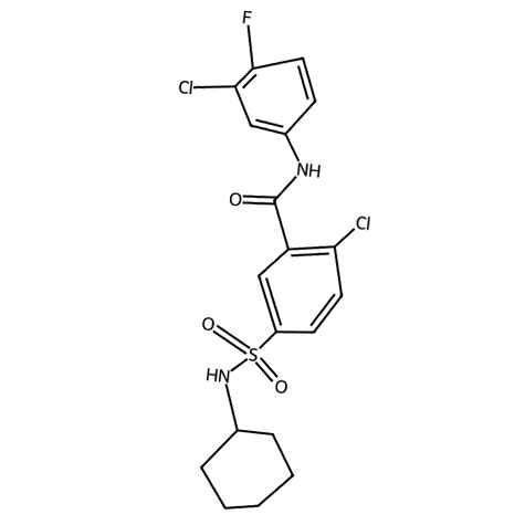 O=C(Nc1ccc(F)c(Cl)c1)c1cc(S(=O)(=O)NC2CCCCC2)ccc1Cl